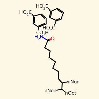 CCCCCCCCCC(CCCCCCCC)C(CCCCCCCCC)CCCCCCCC(N)=O.O=C(O)c1cccc(C(=O)O)c1.O=C(O)c1cccc(C(=O)O)c1